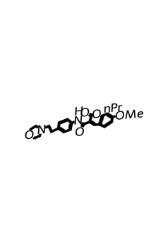 CCCc1c(OC)ccc2cc(C(=O)Nc3ccc(CCN4CCOCC4)cc3)c(=O)oc12